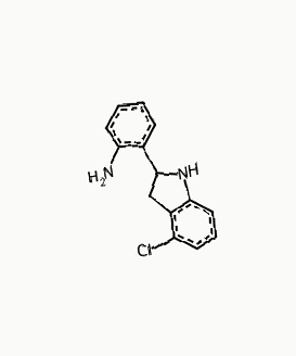 Nc1ccccc1C1Cc2c(Cl)cccc2N1